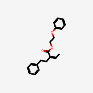 CC=C(CCc1ccccc1)C(=O)OCCOc1ccccc1